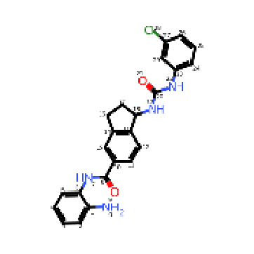 Nc1ccccc1NC(=O)c1ccc2c(c1)CCC2NC(=O)Nc1cccc(Cl)c1